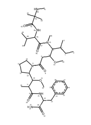 CCC(C)C(C(CC(=O)N1CCCC1C(OC)C(C)C(=O)NC(Cc1ccccc1)C(N)=O)OC)N(C)C(=O)C(NC(=O)C(C)(C)NC)C(C)C